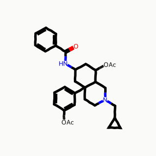 CC(=O)Oc1cccc(C23CCN(CC4CC4)CC2C(OC(C)=O)CC(NC(=O)c2ccccc2)C3)c1